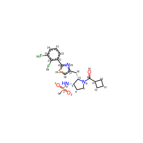 CS(=O)(=O)N[C@H]1CCN(C(=O)C2CCC2)[C@H]1Cc1csc(-c2cccc(F)c2F)n1